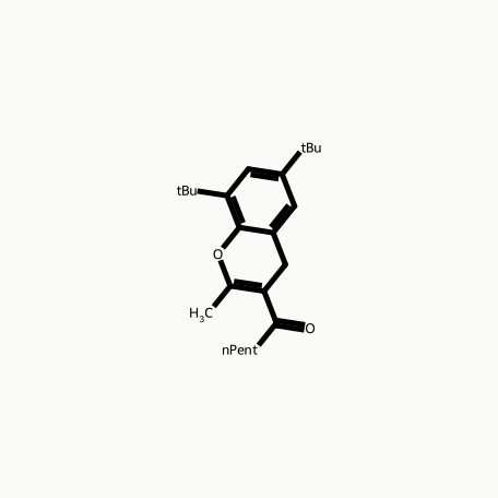 CCCCCC(=O)C1=C(C)Oc2c(cc(C(C)(C)C)cc2C(C)(C)C)C1